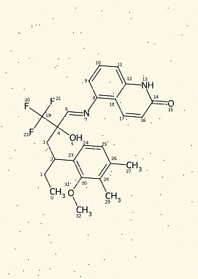 CCC(CC(O)(/C=N/c1cccc2[nH]c(=O)ccc12)C(F)(F)F)c1ccc(C)c(C)c1OC